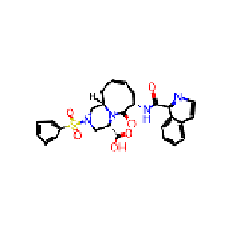 O=C(N[C@H]1C/C=C\C[C@H]2CN(S(=O)(=O)c3ccccc3)C[C@@H](C(=O)O)N2C1=O)c1nccc2ccccc12